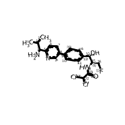 CC(C)C(N)c1ccc(-c2ccc([C@H](O)[C@@H](CF)NC(=O)C(Cl)Cl)cc2)cn1